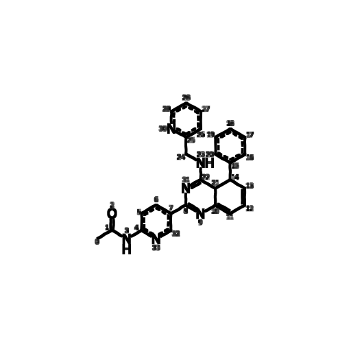 CC(=O)Nc1ccc(C2=NC3=CC=CC(c4ccccc4)C3C(NCc3ccccn3)=N2)cn1